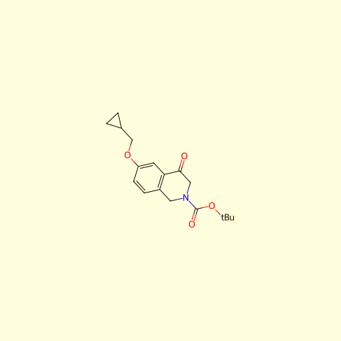 CC(C)(C)OC(=O)N1CC(=O)c2cc(OCC3CC3)ccc2C1